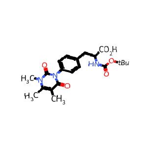 Cc1c(C)n(C)c(=O)n(-c2ccc(CC(NC(=O)OC(C)(C)C)C(=O)O)cc2)c1=O